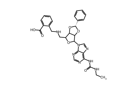 CCNC(=O)Nc1ncnc2c1ncn2C1OC(CNCc2ccccc2C(=O)O)C2O[C@H](c3ccccc3)OC21